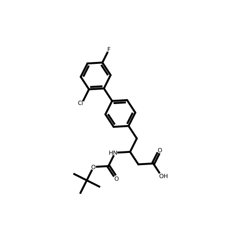 CC(C)(C)OC(=O)NC(CC(=O)O)Cc1ccc(-c2cc(F)ccc2Cl)cc1